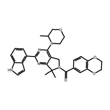 CC1COCCN1c1nc(-c2cccc3[nH]ccc23)nc2c1CN(C(=O)c1ccc3c(c1)OCCO3)C2(C)C